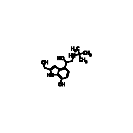 CC(C)(C)NCC(O)c1ccc(O)c2[nH]c(CO)cc12